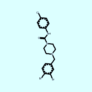 O=C(Nc1ccc(Cl)cc1)N1CCN(Cc2ccc(Br)c(Br)c2)CC1